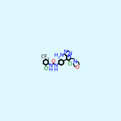 Nc1ncnn2c(CN3CCOCC3)c(Cl)c(-c3ccc(NC(=O)Nc4cc(C(F)(F)F)ccc4Cl)cc3)c12